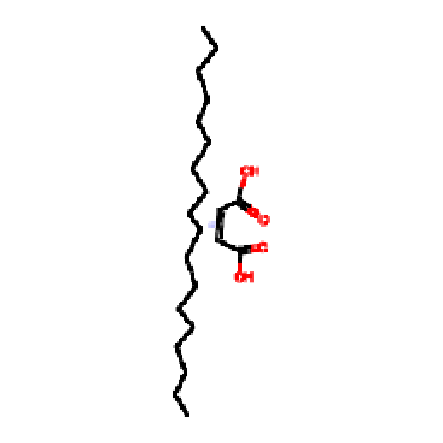 CCCCCCCCCCCCCCCCCC.O=C(O)/C=C\C(=O)O